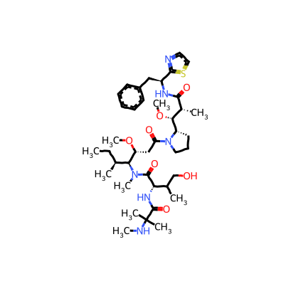 CC[C@H](C)[C@@H]([C@@H](CC(=O)N1CCC[C@H]1[C@H](OC)[C@@H](C)C(=O)N[C@@H](Cc1ccccc1)c1nccs1)OC)N(C)C(=O)[C@@H](NC(=O)C(C)(C)NC)C(C)CO